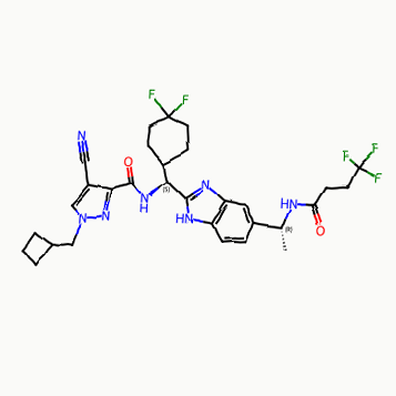 C[C@@H](NC(=O)CCC(F)(F)F)c1ccc2[nH]c([C@@H](NC(=O)c3nn(CC4CCC4)cc3C#N)C3CCC(F)(F)CC3)nc2c1